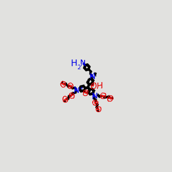 CCN(CCc1ccc(N)cc1)c1ccc(-c2c3ccc(=[N+](CCOCCOC)CCOCCOC)cc-3oc3cc(N(CCOCCOC)CCOCCOC)ccc23)c(O)c1